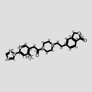 Cc1cc(-n2cncn2)ncc1CC(=O)N1CCN(CCc2ccc3c(c2)COC3=O)CC1